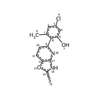 Cc1cc(Cl)cc(O)c1-c1ccc2oc(=S)[nH]c2n1